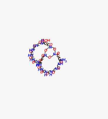 N[C@H]1CSCC(=O)N2CCOCCN3CCOCCN(CCOCC2)C(=O)CSC[C@H](NC(=O)CNC(=O)CNC(=O)CNC(=O)CNC(=O)CNC1=O)C(=O)NCC(=O)NCC(=O)NCC(=O)NCC(=O)NCC(=O)N[C@H](C(=O)O)CSCC3=O